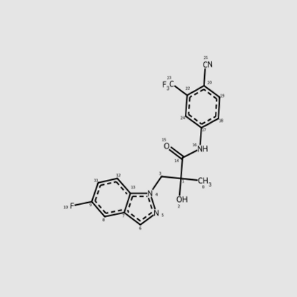 CC(O)(Cn1ncc2cc(F)ccc21)C(=O)Nc1ccc(C#N)c(C(F)(F)F)c1